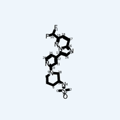 CS(C)(=O)=NC1CCCN(c2cc(-c3cnc4ccc(C(F)F)nn34)ccn2)C1